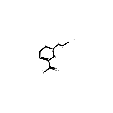 O=C(O)C1=CCCN(CCCl)C1